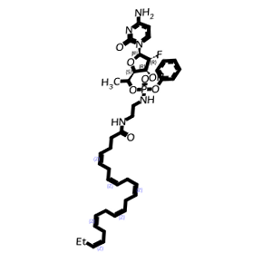 CC/C=C\C/C=C\C/C=C\C/C=C\C/C=C\C/C=C\CCC(=O)NCCNP(=O)(Oc1ccccc1)OC(C)[C@H]1O[C@@H](n2ccc(N)nc2=O)[C@H](F)[C@@H]1O